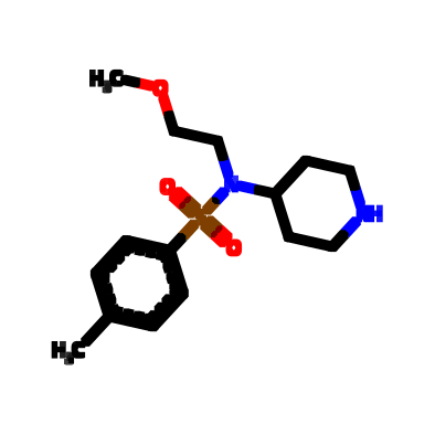 COCCN(C1CCNCC1)S(=O)(=O)c1ccc(C)cc1